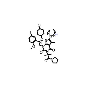 C=NN(/N=C\C)c1sc2c(c1C)c(=O)n(C(C)(C)C(=O)N1CCCC1)c(=O)n2C[C@H](OC1CCC(=O)CC1)c1cc(F)ccc1OC